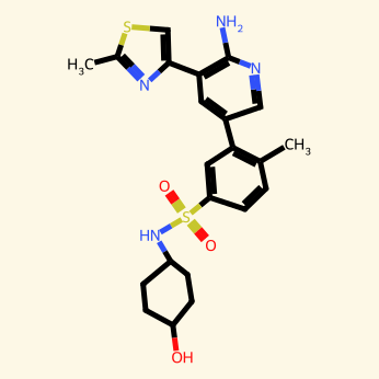 Cc1nc(-c2cc(-c3cc(S(=O)(=O)NC4CCC(O)CC4)ccc3C)cnc2N)cs1